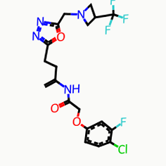 C=C(CCc1nnc(CN2CC(C(F)(F)F)C2)o1)NC(=O)COc1ccc(Cl)c(F)c1